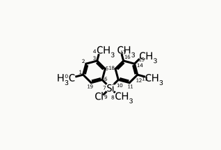 Cc1cc(C)cc([Si](C)(Cl)c2cc(C)c(C)c(C)c2)c1